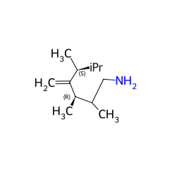 C=C([C@@H](C)C(C)C)[C@H](C)C(C)CN